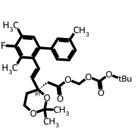 Cc1cccc(-c2cc(C)c(F)c(C)c2C=C[C@]2(CC(=O)OCOC(=O)OC(C)(C)C)CCOC(C)(C)O2)c1